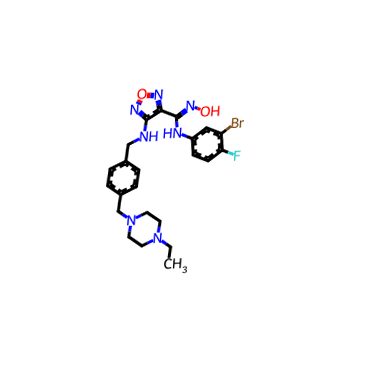 CCN1CCN(Cc2ccc(CNc3nonc3/C(=N/O)Nc3ccc(F)c(Br)c3)cc2)CC1